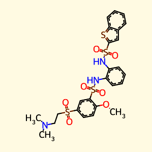 COc1ccc(S(=O)(=O)CCN(C)C)cc1S(=O)(=O)Nc1ccccc1NS(=O)(=O)c1cc2ccccc2s1